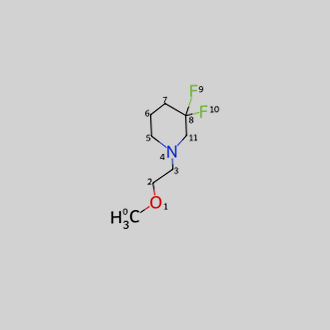 COCCN1CCCC(F)(F)C1